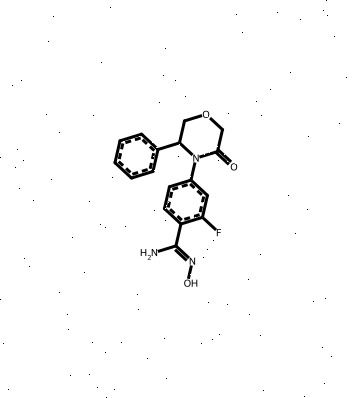 NC(=NO)c1ccc(N2C(=O)COCC2c2ccccc2)cc1F